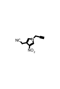 C#CCn1cc([CH]C#N)c([N+](=O)[O-])c1